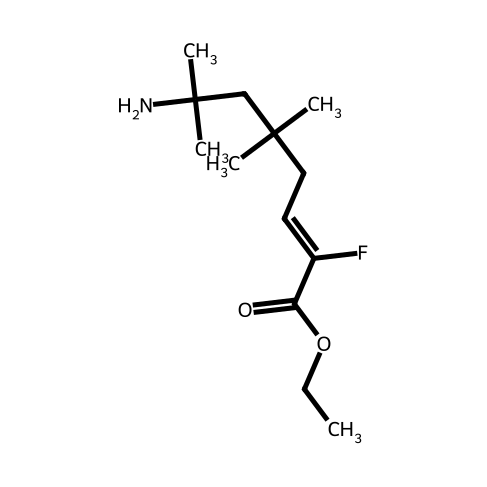 CCOC(=O)/C(F)=C/CC(C)(C)CC(C)(C)N